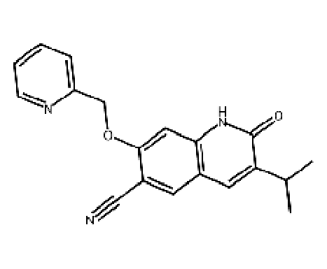 CC(C)c1cc2cc(C#N)c(OCc3ccccn3)cc2[nH]c1=O